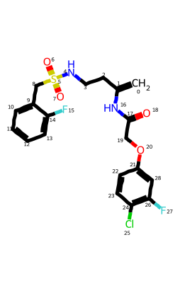 C=C(CCNS(=O)(=O)Cc1ccccc1F)NC(=O)COc1ccc(Cl)c(F)c1